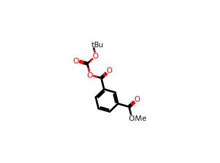 COC(=O)c1cccc(C(=O)OC(=O)OC(C)(C)C)c1